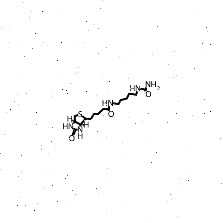 NC(=O)NCCCCCNC(=O)CCCCC1SC[C@@H]2NC(=O)N[C@H]12